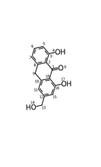 O=C1c2c(O)cccc2Cc2cc(CO)cc(O)c21